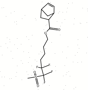 CS(=O)(=O)C(F)(F)C(F)(F)CCCCOC(=O)C1CC2C=CC1C2